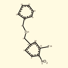 O=[N+]([O-])c1ccc(COCc2ccccc2)cc1F